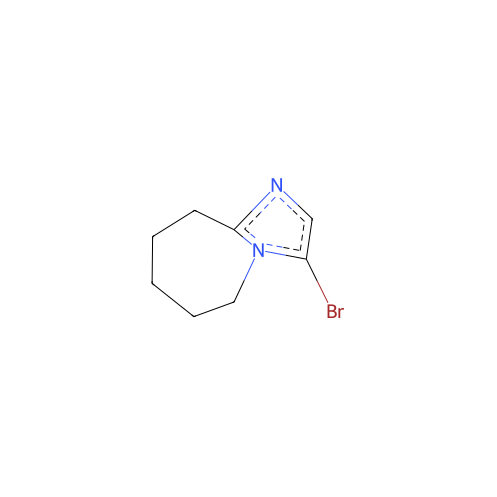 Brc1cnc2n1CCCCC2